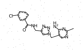 Cc1ncc(Cn2cc(CNC(=O)c3cccc(Cl)c3)nn2)c(N)n1